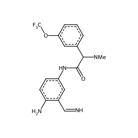 CNC(C(=O)Nc1ccc(N)c(C=N)c1)c1cccc(OC(F)(F)F)c1